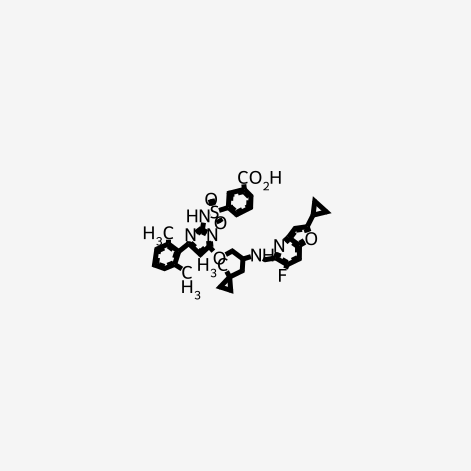 Cc1cccc(C)c1-c1cc(OCC(CC2(C)CC2)NCc2nc3cc(C4CC4)oc3cc2F)nc(NS(=O)(=O)c2cccc(C(=O)O)c2)n1